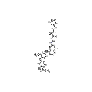 Cc1cc(Nc2ncnc3ccc(/C=C/CNC(=O)C=CCN4CCOCC4)nc23)ccc1Oc1ccc2c(c1)ncn2C